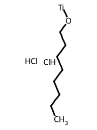 CCCCCCCC[O][Ti].Cl.Cl